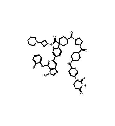 CC(C)n1cnc2cc(-c3ccc4c(c3)N(C3CC(N5CCCCC5)C3)C(=O)C43CCN(C(=O)[C@@H]4CCN(C(=O)C5CCC(Nc6ccc([C@H]7CCC(=O)NC7=O)cn6)CC5)C4)CC3)nc(Nc3ccccc3F)c21